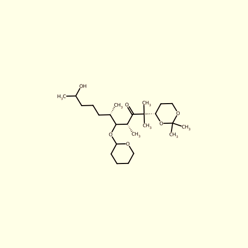 CC(O)CCC[C@H](C)C(OC1CCCCO1)[C@@H](C)C(=O)C(C)(C)[C@@H]1CCOC(C)(C)O1